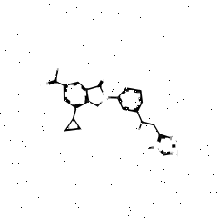 CC(Cc1nncn1C)c1cccc(N2Cc3c(cc(C(=O)O)cc3C3CC3)C2=O)c1